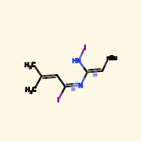 CCCC/C=C(/N=C(/I)C=C(C)C)NI